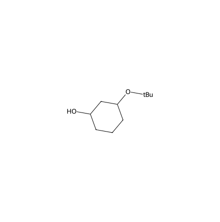 CC(C)(C)OC1CCCC(O)C1